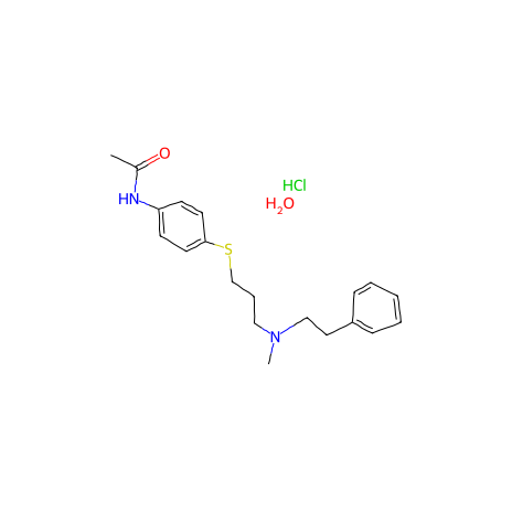 CC(=O)Nc1ccc(SCCCN(C)CCc2ccccc2)cc1.Cl.O